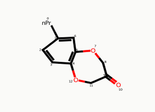 CCCc1ccc2c(c1)OCC(=O)CO2